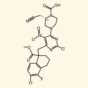 COC(=O)C1(Cc2nc(Cl)nc(N3CCN(C(=O)O)[C@@H](CC#N)C3)c2[N+](=O)[O-])CCCc2c1ccc(Cl)c2F